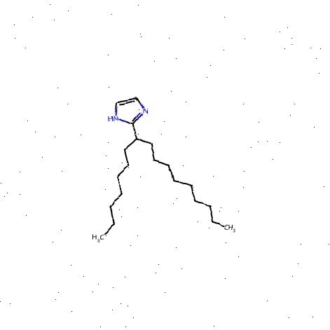 CCCCCCCCCC(CCCCCCC)c1ncc[nH]1